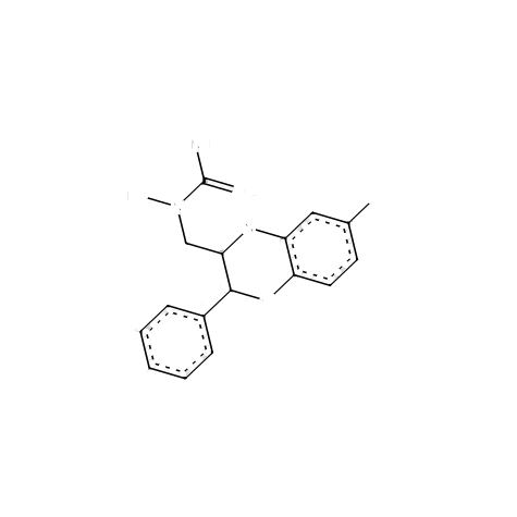 Cc1ccc2c(c1)NC(CN(C)C(N)=O)C(c1ccccc1)O2